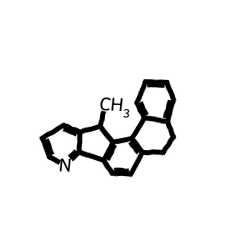 CC1c2cccnc2-c2ccc3c(c21)-c1ccccc1CC3